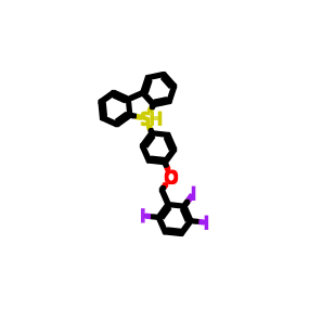 Ic1ccc(I)c(COc2ccc([SH]3c4ccccc4-c4ccccc43)cc2)c1I